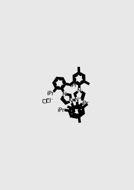 Cc1cc(C)c(N2C=C[N+](c3c(C)cc(C)cc3C)([N+]3(c4c(C(C)C)cccc4C(C)C)C=CN(c4c(C(C)C)cccc4C(C)C)C3)C2)c(C)c1.[Cl-].[Cl-]